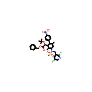 Cc1cc(N(Cc2cc(F)cnc2Cl)S(C)(=O)=O)c(C)c([C@H](OC(C)(C)C)C(=O)OCc2ccccc2)c1-c1ccc([N+](=O)[O-])cc1